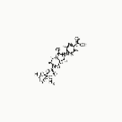 CC(C)(C)OC(=O)N1CCN2C(=O)N(c3ccc(C(=O)O)nc3)CC2C1